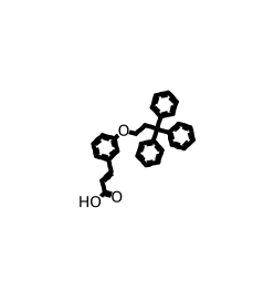 O=C(O)/C=C/c1cccc(OCCC(c2ccccc2)(c2ccccc2)c2ccccc2)c1